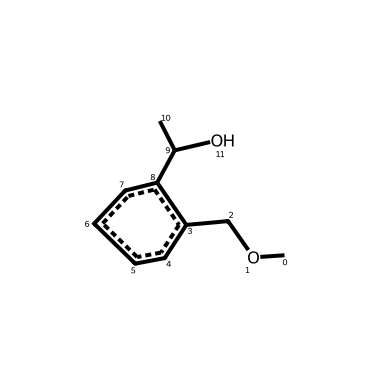 COCc1ccccc1C(C)O